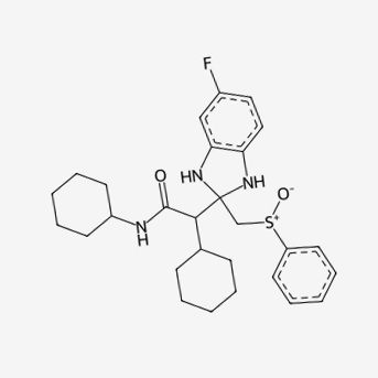 O=C(NC1CCCCC1)C(C1CCCCC1)C1(C[S+]([O-])c2ccccc2)Nc2ccc(F)cc2N1